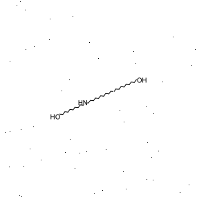 OCCCCCCCCCCCCCCCCCCCCNCCCCCCCCCCO